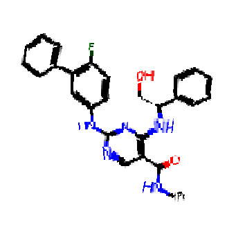 CC(C)NC(=O)c1cnc(Nc2ccc(F)c(-c3ccccc3)c2)nc1N[C@H](CO)c1ccccc1